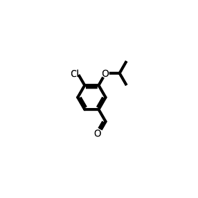 CC(C)Oc1cc(C=O)ccc1Cl